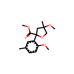 COC(=O)C1(c2cc(C)ccc2OC)CC(C)(OC)CO1